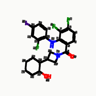 O=C(c1ccc(F)c(F)c1Nc1ccc(I)cc1F)N1CC(C2CCCCC2O)C1